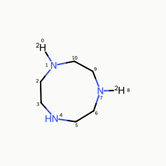 [2H]N1CCNCCN([2H])CC1